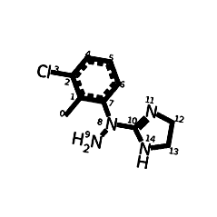 Cc1c(Cl)cccc1N(N)C1=NCCN1